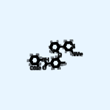 CNc1cc(-c2cccnc2Oc2cc(C(=O)Nc3ccccc3OC)ccc2C)ccn1